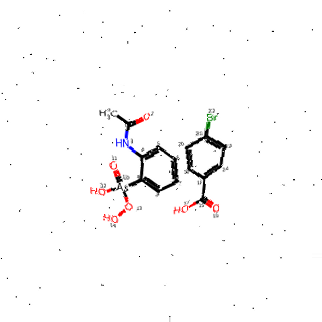 CC(=O)Nc1ccccc1[As](=O)(O)OO.O=C(O)c1ccc(Br)cc1